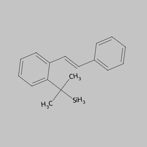 CC(C)([SiH3])c1ccccc1C=Cc1ccccc1